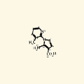 Cc1cccnc1-n1ncc(C(=O)O)c1N